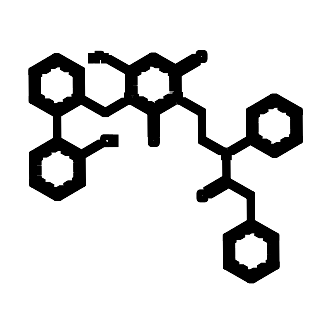 CCCc1cc(=O)n(CCN(C(=O)Cc2ccccc2)c2ccccc2)c(=O)n1Cc1ccccc1-c1ccccc1C#N